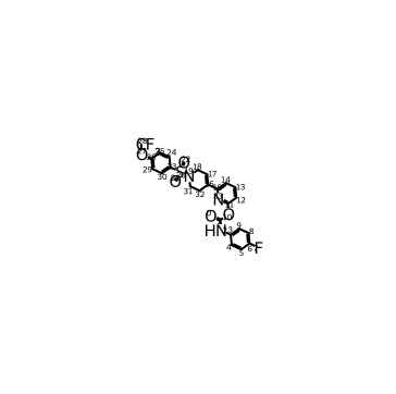 O=C(Nc1ccc(F)cc1)Oc1cccc(C2=CCN(S(=O)(=O)c3ccc(OC(F)(F)F)cc3)CC2)n1